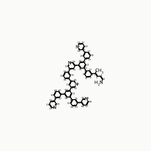 C/C(=C\C=C/N)c1cccc(-c2cc(-c3cccc(-c4cccnc4)c3)cc(-c3cncc(-c4cccc(-c5cncc(-c6cc(-c7cccc(-c8cccnc8)c7)cc(-c7cccc(-c8cccnc8)c7)c6)c5)c4)c3)c2)c1